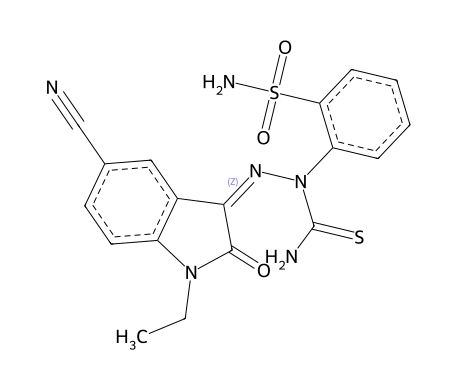 CCN1C(=O)/C(=N\N(C(N)=S)c2ccccc2S(N)(=O)=O)c2cc(C#N)ccc21